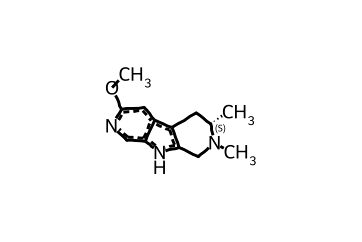 COc1cc2c3c([nH]c2cn1)CN(C)[C@@H](C)C3